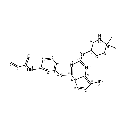 C=CC(=O)Nc1cccc(Nc2nc(OC3CCC(C)(C)NC3)nc3c(C(C)C)cnn23)c1